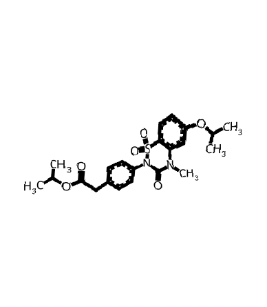 CC(C)OC(=O)Cc1ccc(N2C(=O)N(C)c3cc(OC(C)C)ccc3S2(=O)=O)cc1